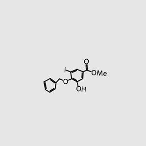 COC(=O)c1cc(O)c(OCc2ccccc2)c(I)c1